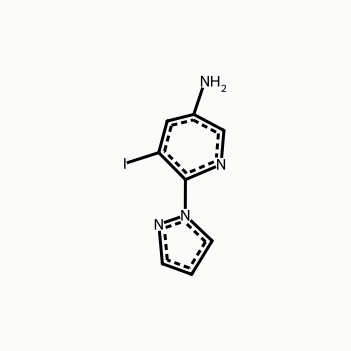 Nc1cnc(-n2cccn2)c(I)c1